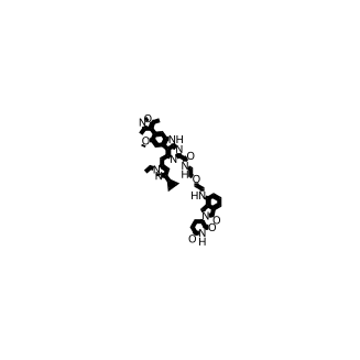 CCn1nc(C2CC2)cc1Cc1nc(C(=O)NCCOCCNc2cccc3c2CN(C2CCC(=O)NC2=O)C3=O)nc2[nH]c3cc(-c4c(C)noc4C)c(OC)cc3c12